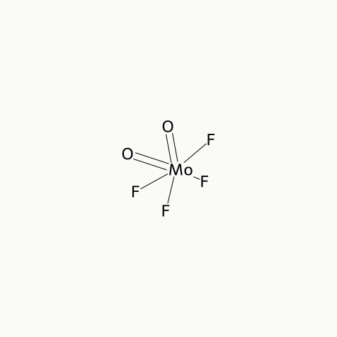 [O]=[Mo](=[O])([F])([F])([F])[F]